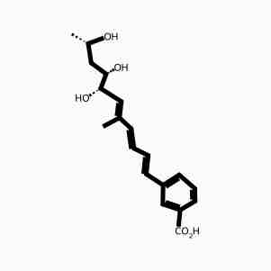 CC(/C=C/C=C/c1cccc(C(=O)O)c1)=C\[C@H](O)[C@@H](O)C[C@H](C)O